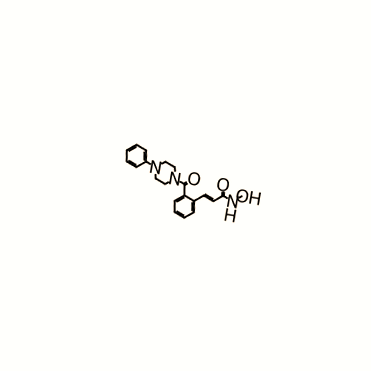 O=C(C=Cc1ccccc1C(=O)N1CCN(c2ccccc2)CC1)NO